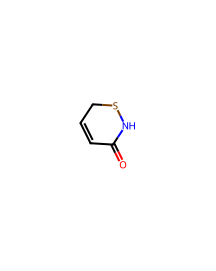 O=C1C=CCSN1